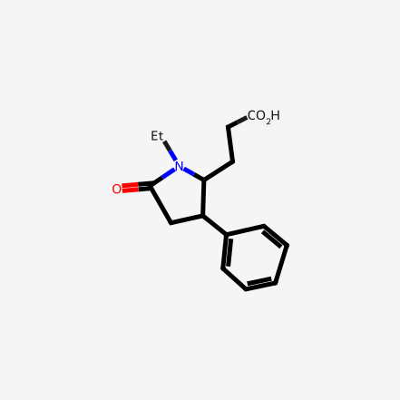 CCN1C(=O)CC(c2ccccc2)C1CCC(=O)O